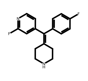 Fc1ccc(C(=C2CCNCC2)c2ccnc(F)c2)cc1